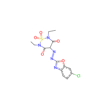 CCN1C(=O)C(N=Nc2nc3ccc(Cl)cc3o2)C(=O)N(CC)S1(=O)=O